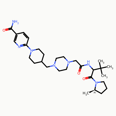 C[C@@H]1CCCN1C(=O)C(NC(=O)CN1CCN(CC2CCN(c3ccc(C(N)=O)cn3)CC2)CC1)C(C)(C)C